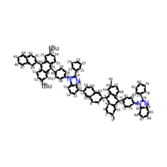 Cc1ccc2c(-c3ccc4cc(-c5cccc6c5nc(-c5ccccc5)n6-c5ccc(-c6c7ccc(C(C)(C)C)cc7c(-c7ccc8ccccc8c7)c7ccc(C(C)(C)C)cc67)cc5)ccc4c3)c3cc(C)ccc3c(-c3ccc(-n4c(-c5ccccc5)nc5ccccc54)cc3)c2c1